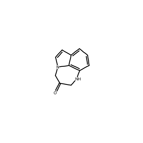 O=C1CNc2cccc3ccn(c23)C1